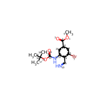 COC(=O)c1cc(Br)c(C=N)c(NC(=O)OC(C)(C)C)c1